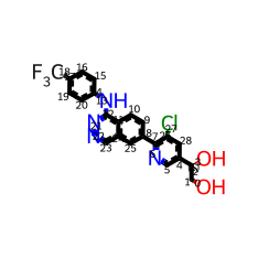 OC[C@@H](O)c1cnc(-c2ccc3c(Nc4ccc(C(F)(F)F)cc4)nncc3c2)c(Cl)c1